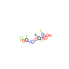 O=C(O)[C@@H]1C[C@@H](F)CN1C(=O)c1cc(C2CC2)c(OCC2CCN(Cc3cc(F)cc(OC(F)(F)F)c3)CC2)cc1F